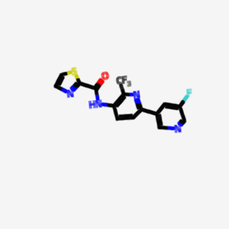 O=C(Nc1ccc(-c2cncc(F)c2)nc1C(F)(F)F)c1nccs1